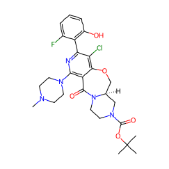 CN1CCN(c2nc(-c3c(O)cccc3F)c(Cl)c3c2C(=O)N2CCN(C(=O)OC(C)(C)C)C[C@@H]2CO3)CC1